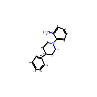 Nc1ccccc1N1CCC(c2ccccc2)CC1